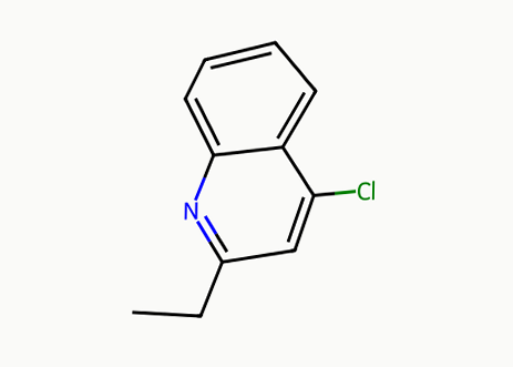 CCc1cc(Cl)c2ccccc2n1